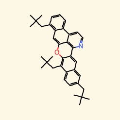 CC(C)(C)Cc1ccc2c(CC(C)(C)C)c3c(cc2c1)-c1nccc2c1c(cc1c(CC(C)(C)C)cccc12)O3